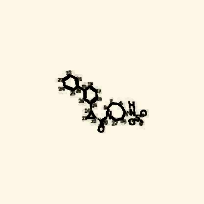 CS(=O)(=O)N[C@H]1CCCN(C(=O)[C@@H]2C[C@H]2c2cccc(-c3ccccc3)c2)CC1